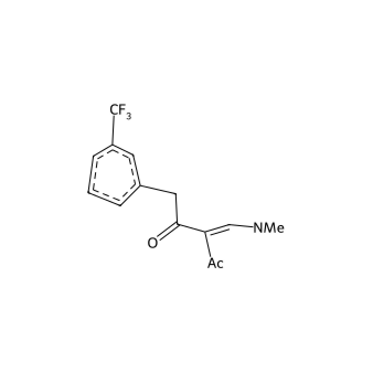 CNC=C(C(C)=O)C(=O)Cc1cccc(C(F)(F)F)c1